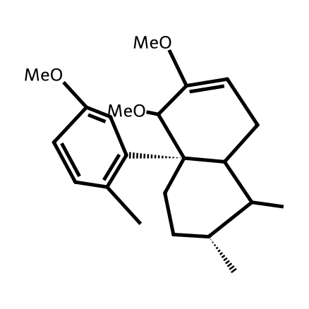 COC1=CCC2C(C)[C@H](C)CC[C@@]2(c2cc(OC)ccc2C)C1OC